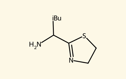 CCC(C)C(N)C1=NCCS1